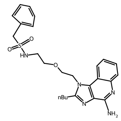 CCCCc1nc2c(N)nc3ccccc3c2n1CCOCCNS(=O)(=O)Cc1ccccc1